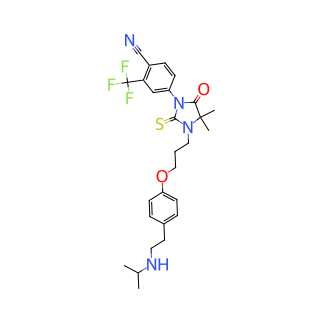 CC(C)NCCc1ccc(OCCCN2C(=S)N(c3ccc(C#N)c(C(F)(F)F)c3)C(=O)C2(C)C)cc1